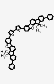 CC1(C)c2cc(-c3ccccc3)ccc2-c2ccc3c(oc4ccc(-c5ccc(-c6ccc(-c7ccc8oc9c%10c(ccc9c8c7)-c7ccc(-c8ccccc8)cc7C%10(C)C)s6)s5)cc43)c21